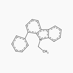 CCn1c2ccccc2c2cccc(-c3ccccc3)c21